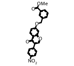 COC(=O)c1cccc(COc2ccc3c(=O)c(-c4ccc([N+](=O)[O-])cc4)coc3c2)c1